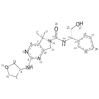 CC1(C)c2cnc(NC3CCOC3)nc2CN1C(=O)N[C@H](CO)c1ccccc1